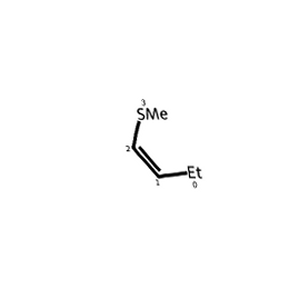 CC/C=C\SC